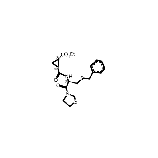 CCOC(=O)[C@H]1C[C@@H]1C(=O)N[C@@H](CSCc1ccccc1)C(=O)N1CCSC1